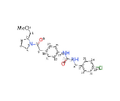 COC[C@@H]1CCCN1C(=O)Cc1ccc(NC(=O)NCc2ccc(Cl)cc2)cc1